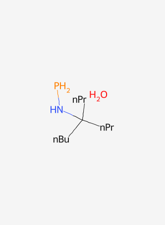 CCCCC(CCC)(CCC)NP.O